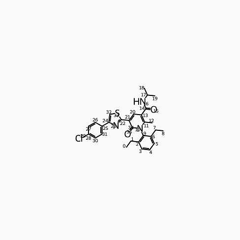 CCc1cccc(CC)c1-n1c(C)c(C(=O)NC(C)C)cc(-c2nc(-c3ccc(Cl)cc3)cs2)c1=O